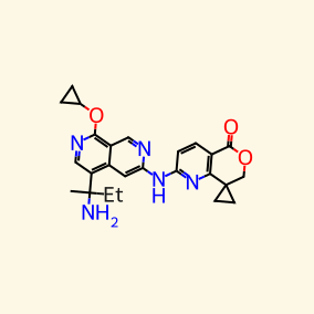 CCC(C)(N)c1cnc(OC2CC2)c2cnc(Nc3ccc4c(n3)C3(CC3)COC4=O)cc12